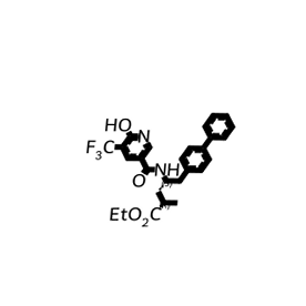 CCOC(=O)[C@H](C)C[C@@H](Cc1ccc(-c2ccccc2)cc1)NC(=O)c1cnc(O)c(C(F)(F)F)c1